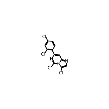 Clc1ccc(-c2cc3ncc(Cl)n3c(Cl)n2)c(Cl)c1